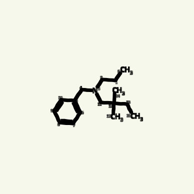 CCCN(Cc1ccccc1)CC(C)(C)CC